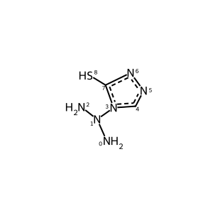 NN(N)n1cnnc1S